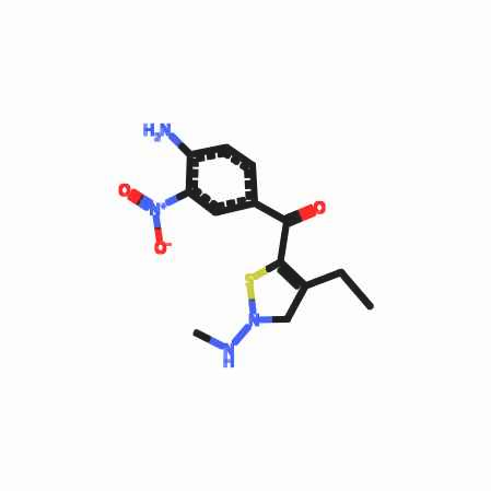 CCC1=C(C(=O)c2ccc(N)c([N+](=O)[O-])c2)SN(NC)C1